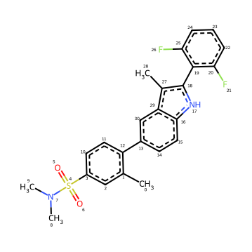 Cc1cc(S(=O)(=O)N(C)C)ccc1-c1ccc2[nH]c(-c3c(F)cccc3F)c(C)c2c1